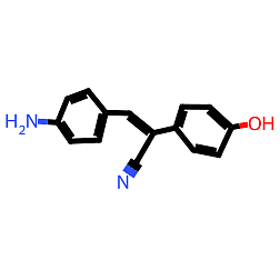 N#CC(=Cc1ccc(N)cc1)c1ccc(O)cc1